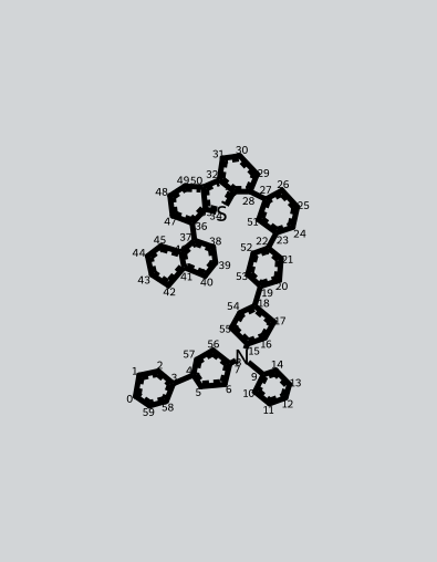 c1ccc(-c2ccc(N(c3ccccc3)c3ccc(-c4ccc(-c5cccc(-c6cccc7c6sc6c(-c8cccc9ccccc89)cccc67)c5)cc4)cc3)cc2)cc1